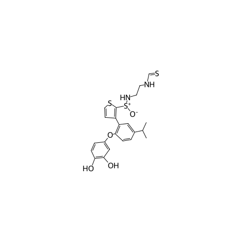 CC(C)c1ccc(Oc2ccc(O)c(O)c2)c(-c2ccsc2[S+]([O-])NCCNC=S)c1